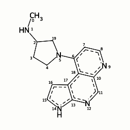 CNC1CCN(c2ccnc3cnc4[nH]ccc4c23)C1